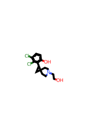 OCCN1CCC2(CC1)CC2c1c(O)ccc(Cl)c1Cl